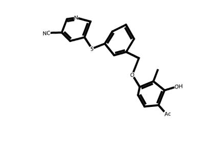 CC(=O)c1ccc(OCc2cccc(Sc3cncc(C#N)c3)c2)c(C)c1O